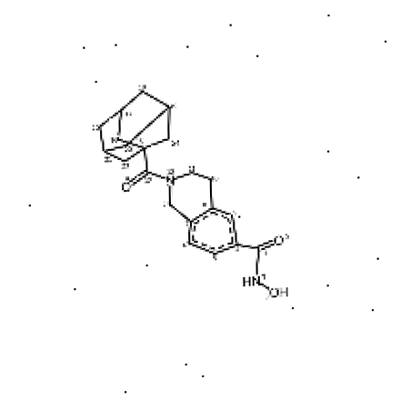 O=C(NO)c1ccc2c(c1)CCN(C(=O)C13CC4CC(CC(C4)C1)C3)C2